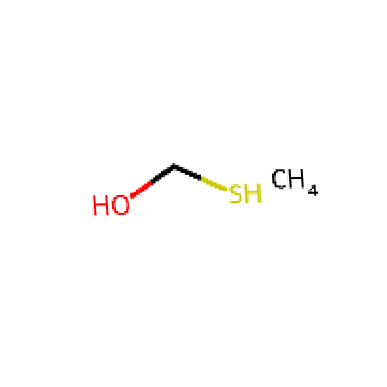 C.OCS